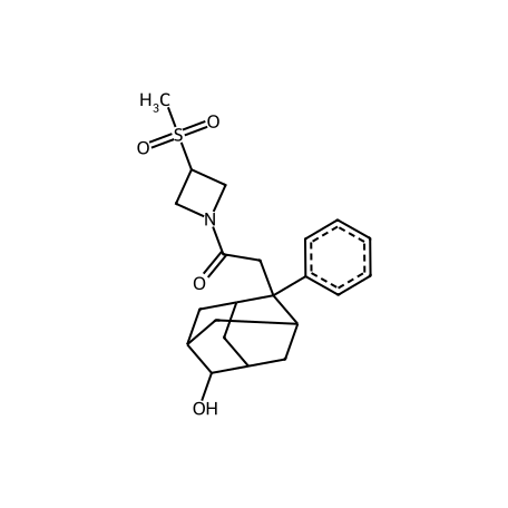 CS(=O)(=O)C1CN(C(=O)CC2(c3ccccc3)C3CC4CC2CC(C3)C4O)C1